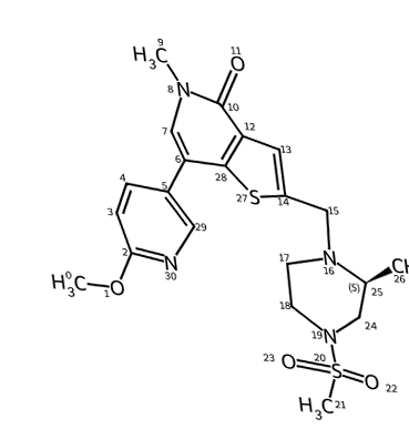 COc1ccc(-c2cn(C)c(=O)c3cc(CN4CCN(S(C)(=O)=O)C[C@@H]4C)sc23)cn1